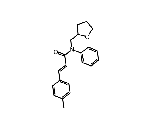 Cc1ccc(C=CC(=O)N(CC2CCCO2)c2ccccc2)cc1